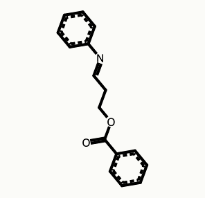 O=C(OCCC=Nc1ccccc1)c1ccccc1